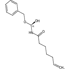 C=CCCCCC(=O)N[C@H](O)OCc1ccccc1